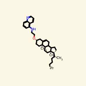 CC(C)CCC[C@@H](C)[C@H]1CCC2C3CC=C4C[C@@H](OCCNc5cccc6ncccc56)CC[C@]4(C)C3CC[C@@]21C